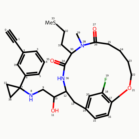 C#Cc1cccc(C2(NCC(O)C3Cc4ccc(c(F)c4)OCCCCC(=O)N(C)C(CCSC)C(=O)N3)CC2)c1